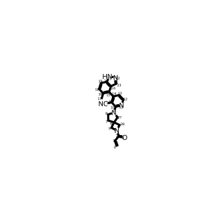 C=CC(=O)N1CC2(CCN(c3nccc(-c4c(C)ccc5[nH]ncc45)c3C#N)C2)C1